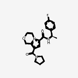 C[C@@H](NC(=O)c1cc(C(=O)N2CCCC2)c2n1CCOC2)c1ccc(F)cc1